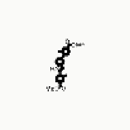 COC(=O)c1ccc(-c2ccc3[nH]c(-c4ccc(C(=O)OC)cc4C)cc3c2)c(C)c1